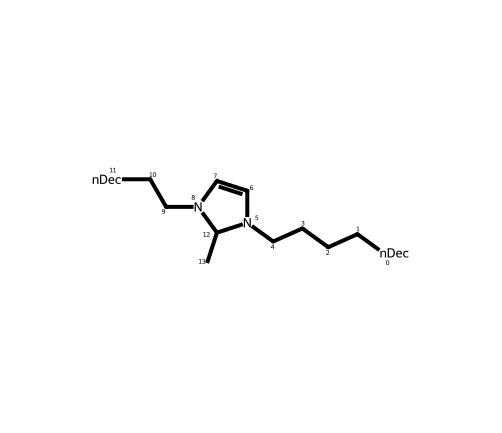 CCCCCCCCCCCCCCN1C=CN(CCCCCCCCCCCC)C1C